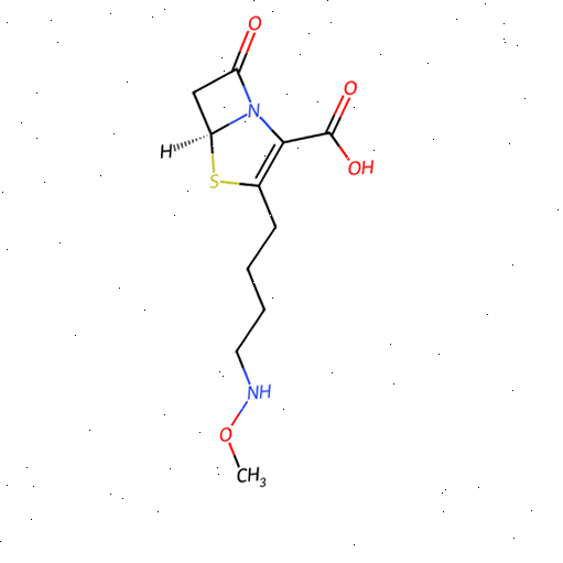 CONCCCCC1=C(C(=O)O)N2C(=O)C[C@@H]2S1